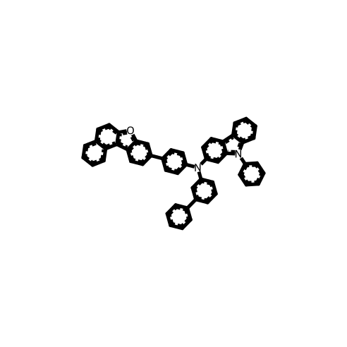 c1ccc(-c2cccc(N(c3ccc(-c4ccc5c(c4)oc4ccc6ccccc6c45)cc3)c3ccc4c5ccccc5n(-c5ccccc5)c4c3)c2)cc1